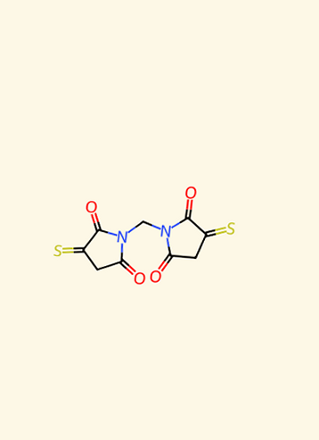 O=C1CC(=S)C(=O)N1CN1C(=O)CC(=S)C1=O